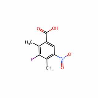 Cc1c(C(=O)O)cc([N+](=O)[O-])c(C)c1I